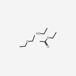 CCO.CCOC(C)=O.CCOCC